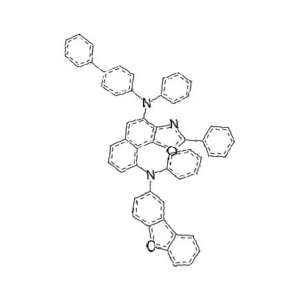 c1ccc(-c2ccc(N(c3ccccc3)c3cc4cccc(N(c5ccccc5)c5ccc6oc7ccccc7c6c5)c4c4oc(-c5ccccc5)nc34)cc2)cc1